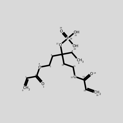 C=CC(=O)OCCC(CC)(CCOC(=O)C=C)OP(=O)(O)O